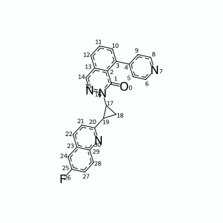 O=c1c2c(-c3ccncc3)cccc2cnn1C1CC1c1ccc2cc(F)ccc2n1